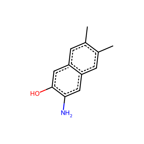 Cc1cc2cc(N)c(O)cc2cc1C